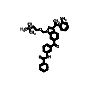 C=C(c1ccccc1N)c1nn(COCC[Si](C)(C)C)c2cc(C(=O)c3cccc(NC(=O)c4ccccc4)c3)ccc12